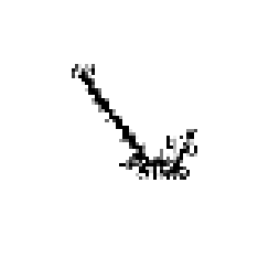 CCNC(=O)CC[C@H](NC(=O)CC[C@H](NC(=O)CCCCCCCCCCCCCCCCC(=O)O)C(=O)O)C(=O)O